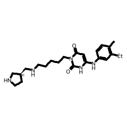 CCc1cc(Nc2cc(=O)n(CCCCCNC[C@H]3CCNC3)c(=O)[nH]2)ccc1C